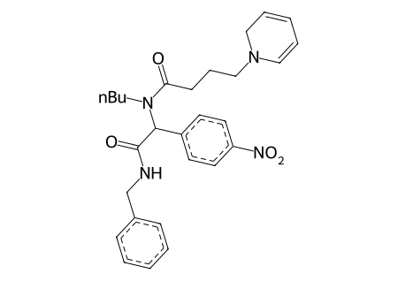 CCCCN(C(=O)CCCN1C=CC=CC1)C(C(=O)NCc1ccccc1)c1ccc([N+](=O)[O-])cc1